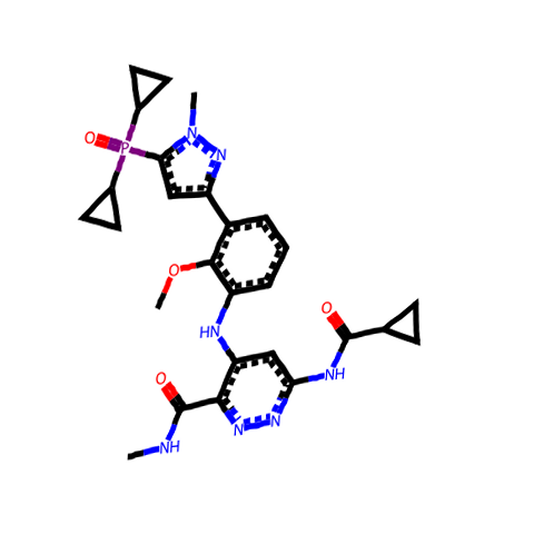 CNC(=O)c1nnc(NC(=O)C2CC2)cc1Nc1cccc(-c2cc(P(=O)(C3CC3)C3CC3)n(C)n2)c1OC